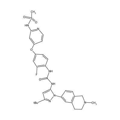 CN1CCc2cc(-n3nc(C(C)(C)C)cc3NC(=O)Nc3ccc(Oc4ccnc(NS(C)(=O)=O)c4)cc3F)ccc2C1